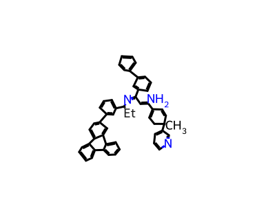 CCC(/N=C(\C=C(/N)C1=CCC(C)(c2cccnc2)C=C1)c1cccc(-c2ccccc2)c1)c1cccc(-c2ccc3c4ccccc4c4ccccc4c3c2)c1